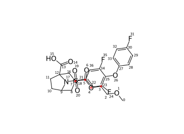 COCCOC(=O)N1CC2CCC(C(=O)O)(C1)N2S(=O)(=O)c1cc(F)c(Oc2ccc(F)cc2)c(F)c1